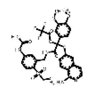 CCS(=O)(=O)c1ccc(NC(C)=O)cc1CNC(=O)C(OC(=O)C(F)(F)F)(Oc1ccc2c(N)nccc2c1)c1ccc(OC)c(OC)c1